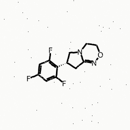 Fc1cc(F)c([C@H]2CC3=NOCCN3C2)c(F)c1